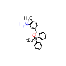 Cc1ccc(CO[Si](c2ccccc2)(c2ccccc2)C(C)(C)C)cc1N